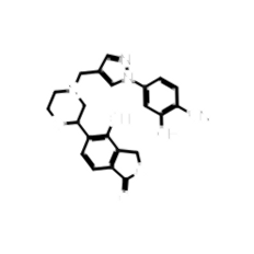 Cc1cc(-n2cc(CN3CCOC(c4ccc5c(c4C)COC5=O)C3)cn2)ccc1C#N